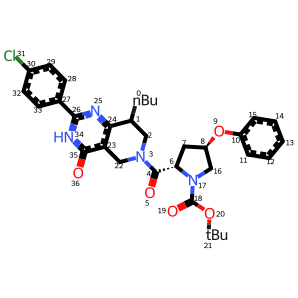 CCCCC1CN(C(=O)[C@@H]2C[C@@H](Oc3ccccc3)CN2C(=O)OC(C)(C)C)Cc2c1nc(-c1ccc(Cl)cc1)[nH]c2=O